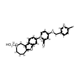 Cc1ccc(COc2ccn(-c3ccc4c5c(oc4c3)CCCN(C(=O)O)C5)c(=O)c2)cn1